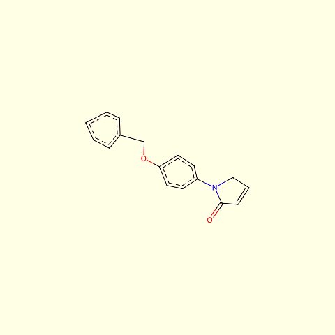 O=C1C=CCN1c1ccc(OCc2ccccc2)cc1